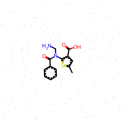 Cc1cc(C(=O)O)c(N(CN)C(=O)c2ccccc2)s1